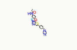 CCC(=O)Nc1ccc(Oc2ncnc3cc(C4=CCC(CN5CCN(C)CC5)C=C4)sc23)c(F)c1